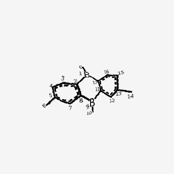 CB1c2ccc(C)cc2B(C)c2cc(C)ccc21